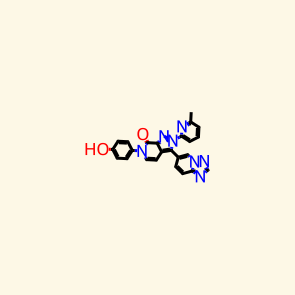 Cc1cccc(-n2nc3c(=O)n(-c4ccc(O)cc4)ccc3c2-c2ccc3ncnn3c2)n1